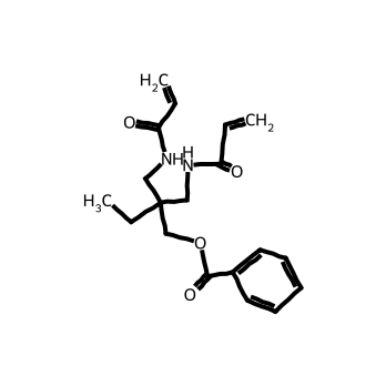 C=CC(=O)NCC(CC)(CNC(=O)C=C)COC(=O)c1ccccc1